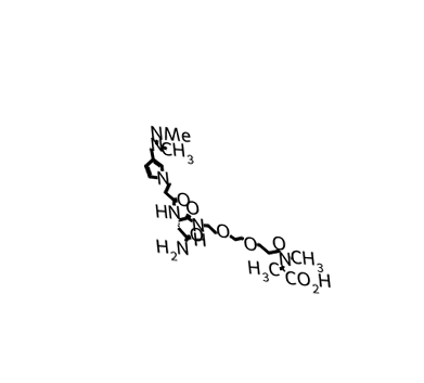 CNN(C)Cc1ccn(CCC(=O)N[C@@H](CC(N)=O)C(=O)NCCOCCOCCC(=O)N(C)[C@@H](C)C(=O)O)c1